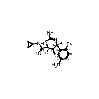 CC1[C@@](C)(C(=O)NC2CC2)SC(N)=N[C@]1(C)c1cc(N)ccc1F